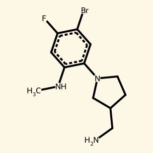 CNc1cc(F)c(Br)cc1N1CCC(CN)C1